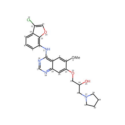 COc1cc2c(Nc3cccc4c(Cl)coc34)ncnc2cc1OCC(O)CN1CCCC1